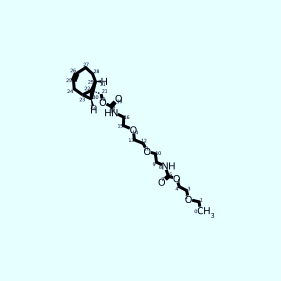 CCOCCOC(=O)NCCOCCOCCNC(=O)OC[C@]12C3CC#CCC[C@@H]1[C@H]32